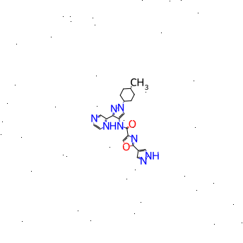 C[C@H]1CC[C@H](n2cc(NC(=O)c3coc(-c4cn[nH]c4)n3)c(-c3cnccn3)n2)CC1